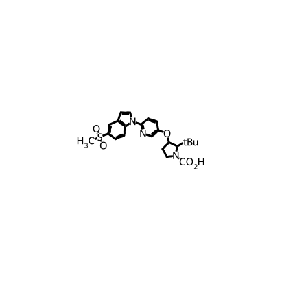 CC(C)(C)C1C(Oc2ccc(-n3ccc4cc(S(C)(=O)=O)ccc43)nc2)CCN1C(=O)O